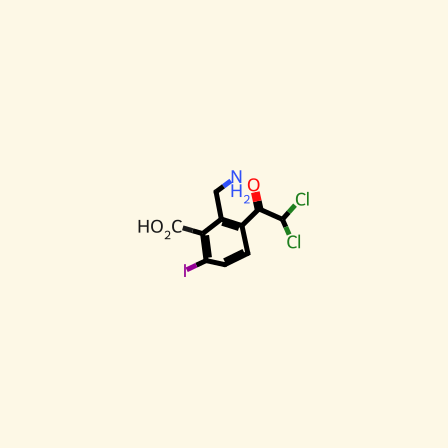 NCc1c(C(=O)C(Cl)Cl)ccc(I)c1C(=O)O